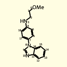 COCCNc1ccc(-n2cnc3ccccc32)cc1